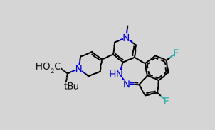 CN1C=C2C(=C(C3=CCN(C(C(=O)O)C(C)(C)C)CC3)C1)NN=C1C=C(F)c3cc(F)cc2c31